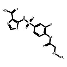 NNCC(=O)Nc1ccc(S(=O)(=O)Nc2scnc2C(=O)O)cc1F